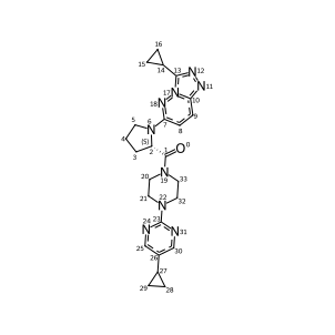 O=C([C@@H]1CCCN1c1ccc2nnc(C3CC3)n2n1)N1CCN(c2ncc(C3CC3)cn2)CC1